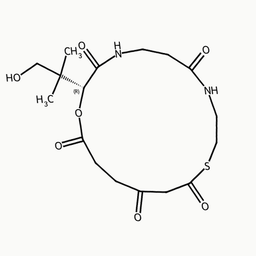 CC(C)(CO)[C@H]1OC(=O)CCC(=O)CC(=O)SCCNC(=O)CCNC1=O